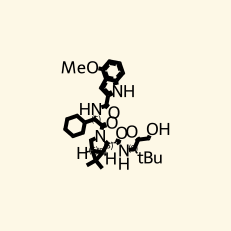 COc1cccc2[nH]c(C(=O)N[C@H](C(=O)N3C[C@H]4[C@@H]([C@H]3C(=O)N[C@H](C(=O)CO)C(C)(C)C)C4(C)C)C3CCCCC3)cc12